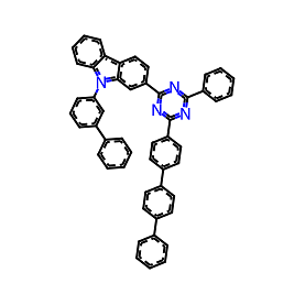 c1ccc(-c2ccc(-c3ccc(-c4nc(-c5ccccc5)nc(-c5ccc6c7ccccc7n(-c7cccc(-c8ccccc8)c7)c6c5)n4)cc3)cc2)cc1